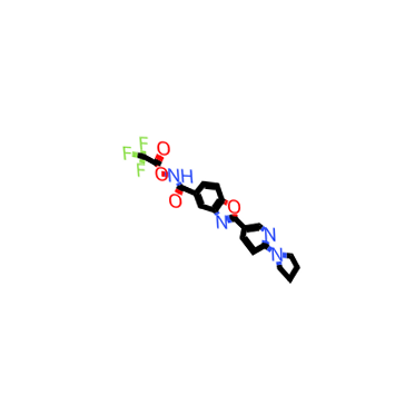 O=C(NOC(=O)C(F)(F)F)c1ccc2oc(-c3ccc(N4CCCC4)nc3)nc2c1